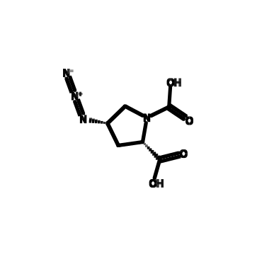 [N-]=[N+]=N[C@H]1C[C@@H](C(=O)O)N(C(=O)O)C1